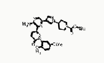 COc1ccc(C)c(-n2nc(-c3nc(-c4cnn(C5CCN(C(=O)OC(C)(C)C)CC5)c4)cnc3N)ccc2=O)c1